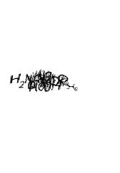 CCCCCC(=O)OC[C@H]1O[C@@H]([n+]2cccc(C(N)=O)c2)[C@H](O)[C@@H]1O